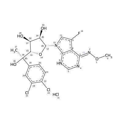 CO/N=c1\nc[nH]c2c1c(F)cn2[C@@H]1O[C@H]([C@](C)(O)c2ccc(Cl)c(Cl)c2)[C@@H](O)[C@H]1O.Cl